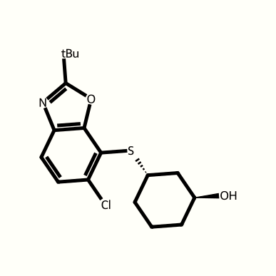 CC(C)(C)c1nc2ccc(Cl)c(S[C@H]3CCC[C@H](O)C3)c2o1